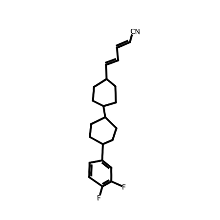 N#CC=CC=CC1CCC(C2CCC(c3ccc(F)c(F)c3)CC2)CC1